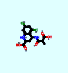 CC(C(=O)O)C(=O)NC1CC(C(=O)O)Nc2cc(Cl)cc(Cl)c21